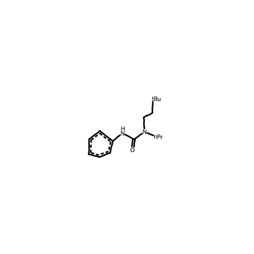 CCCN(CCC(C)(C)C)C(=O)Nc1ccccc1